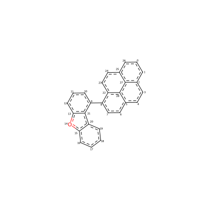 c1cc2ccc3ccc(-c4cccc5oc6ccccc6c45)c4ccc(c1)c2c34